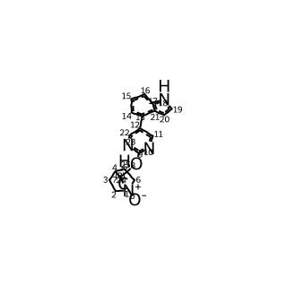 [O-][N+]12CCC(CC1)[C@@H](Oc1ncc(-c3cccc4[nH]ccc34)cn1)C2